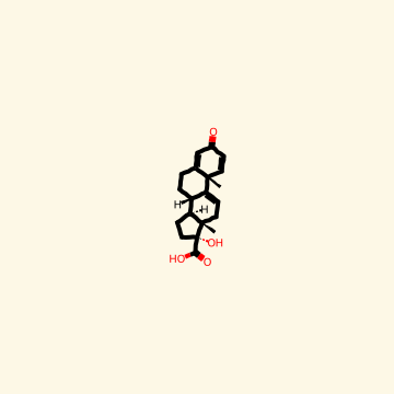 C[C@]12C=CC(=O)C=C1CC[C@@H]1C2=CC[C@@]2(C)[C@H]1CC[C@]2(O)C(=O)O